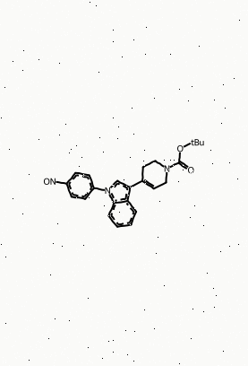 CC(C)(C)OC(=O)N1CC=C(c2cn(-c3ccc(N=O)cc3)c3ccccc23)CC1